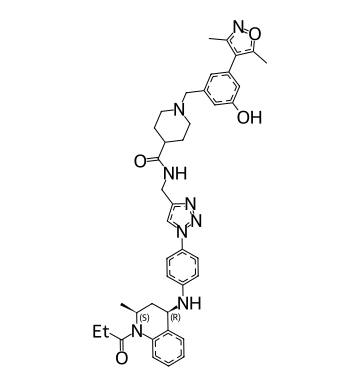 CCC(=O)N1c2ccccc2[C@H](Nc2ccc(-n3cc(CNC(=O)C4CCN(Cc5cc(O)cc(-c6c(C)noc6C)c5)CC4)nn3)cc2)C[C@@H]1C